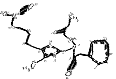 CC(=O)NN(C(=O)c1ccccc1)c1nc(C)c(CCO[N+](=O)[O-])s1